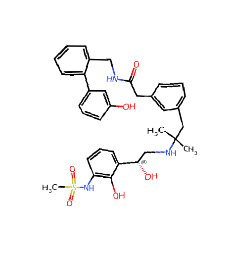 CC(C)(Cc1cccc(CC(=O)NCc2ccccc2-c2cccc(O)c2)c1)NC[C@H](O)c1cccc(NS(C)(=O)=O)c1O